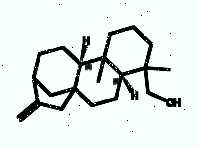 C=C1CC23CC[C@@H]4C(C)(CO)CCCC4(C)[C@@H]2CCC1C3